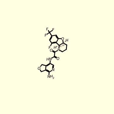 Nc1ncc(NC(=O)C(=O)N2CCC[C@@H]3Oc4cc(C(F)(F)F)cc(F)c4[C@@H]32)c2c1COC2